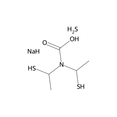 CC(S)N(C(=O)O)C(C)S.S.[NaH]